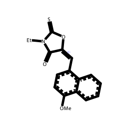 CCN1C(=O)/C(=C\c2ccc(OC)c3ccccc23)OC1=S